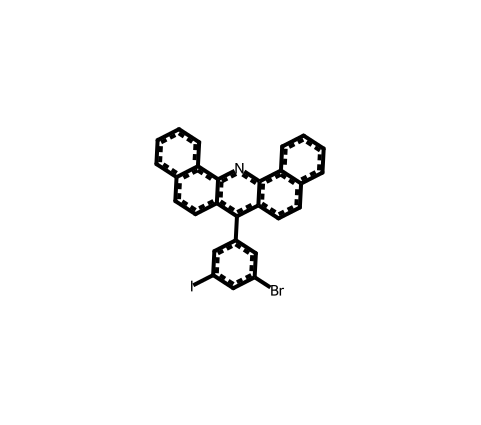 Brc1cc(I)cc(-c2c3ccc4ccccc4c3nc3c2ccc2ccccc23)c1